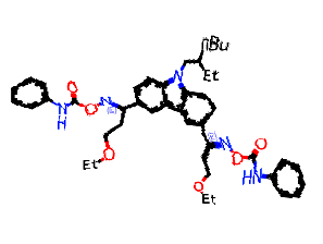 CCCCC(CC)Cn1c2ccc(/C(CCOCC)=N/OC(=O)Nc3ccccc3)cc2c2cc(/C(CCOCC)=N/OC(=O)Nc3ccccc3)ccc21